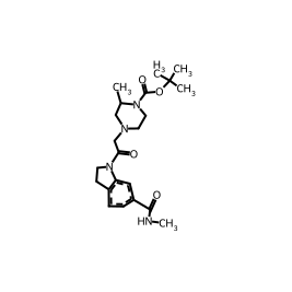 CNC(=O)c1ccc2c(c1)N(C(=O)CN1CCN(C(=O)OC(C)(C)C)C(C)C1)CC2